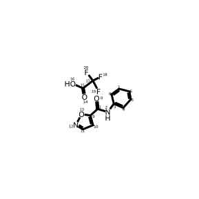 O=C(Nc1ccccc1)c1ccno1.O=C(O)C(F)(F)F